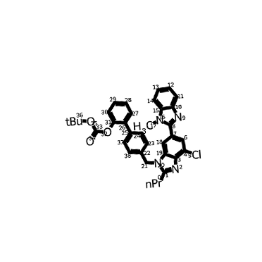 CCCc1nc2c(Cl)cc(-c3nc4ccccc4n3C)cc2n1Cc1ccc(-c2ccccc2OC(=O)OC(C)(C)C)cc1